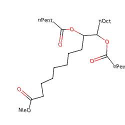 CCCCCCCCC(OC(=O)CCCCC)C(CCCCCCCC(=O)OC)OC(=O)CCCCC